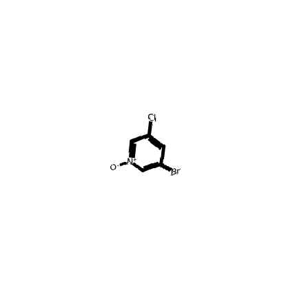 [O-][n+]1cc(Cl)cc(Br)c1